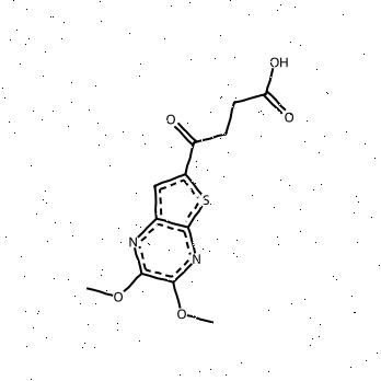 COc1nc2cc(C(=O)CCC(=O)O)sc2nc1OC